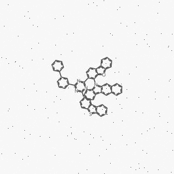 c1ccc(-c2cccc(-c3nc(-c4ccc5sc6ccccc6c5c4)nc(-c4ccc5c(oc6ccccc65)c4-n4c5ccccc5c5cc6ccccc6cc54)n3)c2)cc1